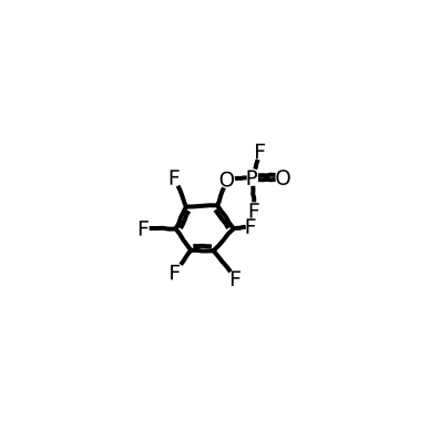 O=P(F)(F)Oc1c(F)c(F)c(F)c(F)c1F